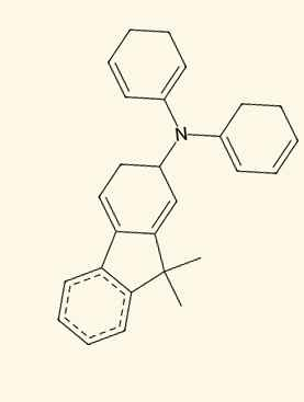 CC1(C)C2=CC(N(C3=CCCC=C3)C3=CC=CCC3)CC=C2c2ccccc21